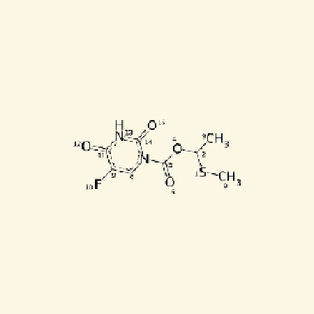 CSC(C)OC(=O)n1cc(F)c(=O)[nH]c1=O